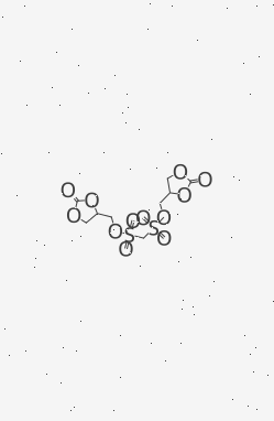 O=C1OCC(COS(=O)(=O)CS(=O)(=O)OCC2COC(=O)O2)O1